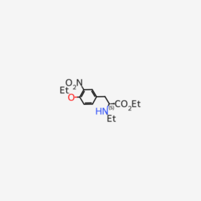 CCN[C@@H](Cc1ccc(OCC)c([N+](=O)[O-])c1)C(=O)OCC